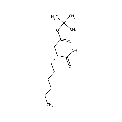 CCCCCC[C@H](CC(=O)OC(C)(C)C)C(=O)O